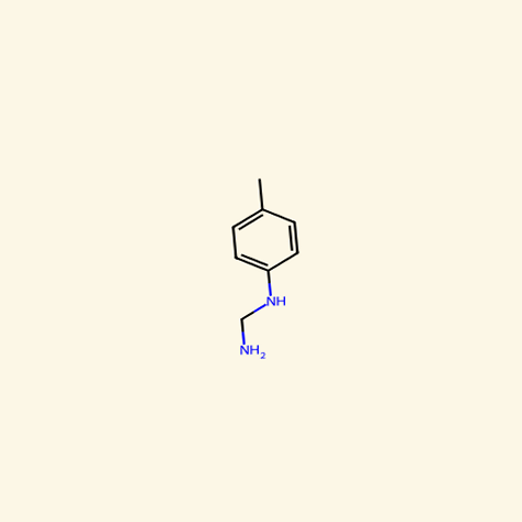 Cc1ccc(NCN)cc1